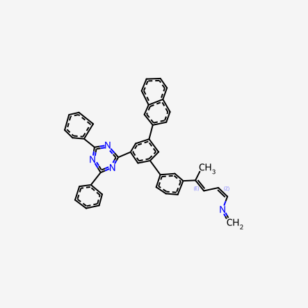 C=N/C=C\C=C(/C)c1cccc(-c2cc(-c3ccc4ccccc4c3)cc(-c3nc(-c4ccccc4)nc(-c4ccccc4)n3)c2)c1